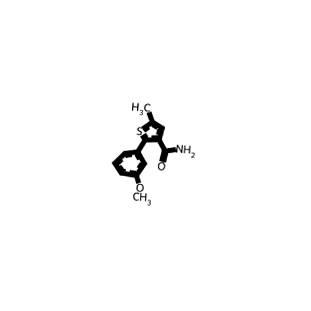 COc1cccc(-c2sc(C)cc2C(N)=O)c1